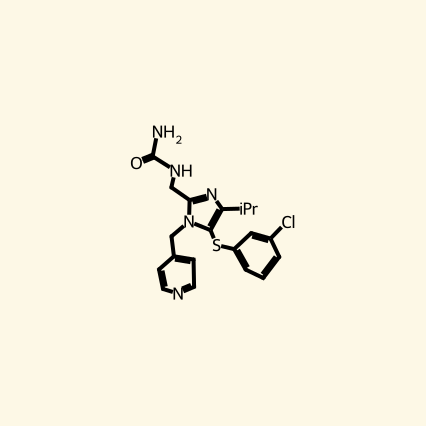 CC(C)c1nc(CNC(N)=O)n(Cc2ccncc2)c1Sc1cccc(Cl)c1